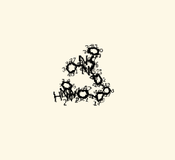 Nc1ccccc1N(N)c1ccc(-c2ccc3cccc(-c4ccc(-c5cc(-c6ccccc6)nc(C6=CCCC=C6)n5)cc4)c3c2)cc1